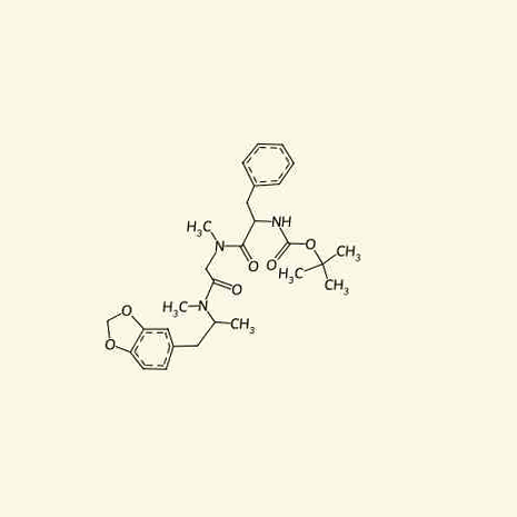 CC(Cc1ccc2c(c1)OCO2)N(C)C(=O)CN(C)C(=O)C(Cc1ccccc1)NC(=O)OC(C)(C)C